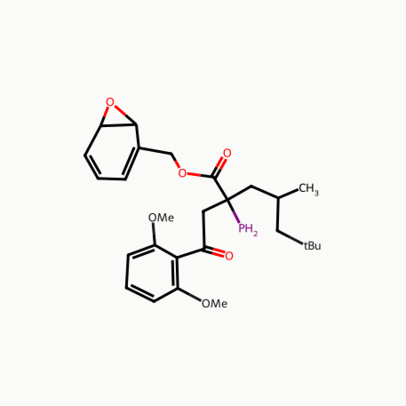 COc1cccc(OC)c1C(=O)CC(P)(CC(C)CC(C)(C)C)C(=O)OCC1=CC=CC2OC12